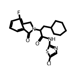 O=C(Nc1ncc(Cl)s1)C(CC1CCCCC1)N1Cc2c(F)cccc2C1=O